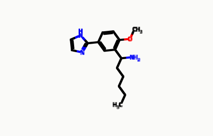 CCCCCC(N)c1cc(-c2ncc[nH]2)ccc1OC